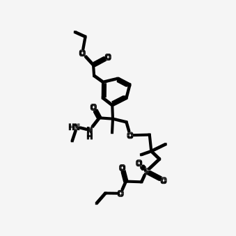 CCOC(=O)Cc1cccc(C(C)(COCC(C)(C)CS(=O)(=O)CC(=O)OCC)C(=O)NNC)c1